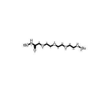 CC(C)(C)NC(=O)COCCOCCOCCOC(C)(C)C